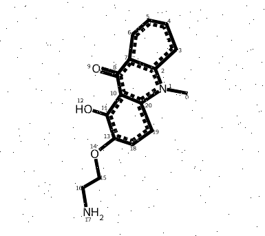 Cn1c2ccccc2c(=O)c2c(O)c(OCCN)ccc21